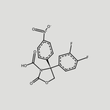 O=C(O)N1C(=O)OC[C@@]1(c1ccc([N+](=O)[O-])cc1)c1ccc(F)c(F)c1